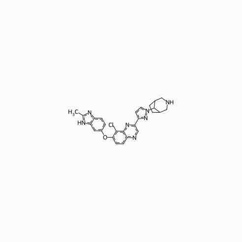 Cc1nc2ccc(Oc3ccc4ncc(-c5ccn(C6C7CCC6CNC7)n5)nc4c3Cl)cc2[nH]1